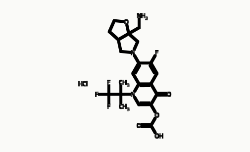 CC(C)(n1cc(OC(=O)O)c(=O)c2cc(F)c(N3CC4CCOC4(CN)C3)cc21)C(F)(F)F.Cl